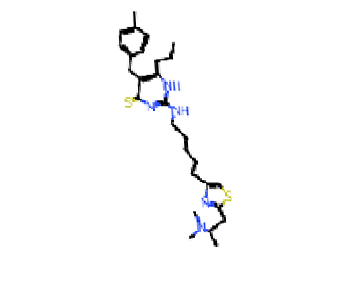 CCCc1[nH]c(NCCCCCc2csc(CC(C)N(C)C)n2)nc(=S)c1Cc1ccc(C)cc1